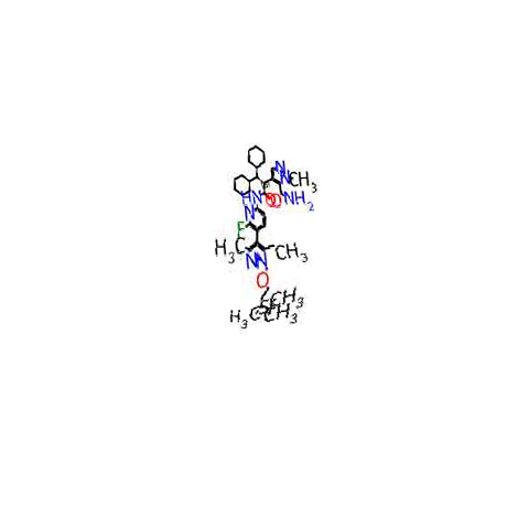 CCc1c(-c2ccc(NC(=O)[C@H](c3cnn(C)c3C(N)=O)C(C3CCCCC3)C3CCCCC3)nc2F)c(C)nn1COCC[Si](C)(C)C